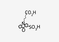 O=C(O)CCCCCCn1c2ccccc2c(=O)c2cc(S(=O)(=O)O)ccc21